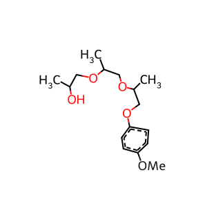 COc1ccc(OCC(C)OCC(C)OCC(C)O)cc1